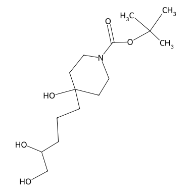 CC(C)(C)OC(=O)N1CCC(O)(CCCC(O)CO)CC1